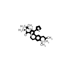 COc1cc2c(cc1CC(C)C)-c1c(-c3cccs3)cc(C(=O)N(C)C(C)(C)C)n1CC2